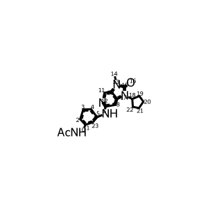 CC(=O)Nc1cccc(Nc2cc3c(cn2)n(C)c(=O)n3C2CCCC2)c1